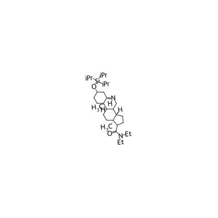 CCN(CC)C(=O)C1CC[C@H]2[C@@H]3CN=C4CC(O[Si](C(C)C)(C(C)C)C(C)C)CC[C@]4(C)[C@@H]3CC[C@]12C